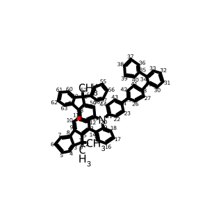 CC1(C)c2ccccc2-c2cccc(-c3ccccc3N(c3ccc(-c4ccc(-c5ccccc5-c5ccccc5)cc4)cc3)c3ccc4c(c3)C(C)(c3ccccc3)c3ccccc3-4)c21